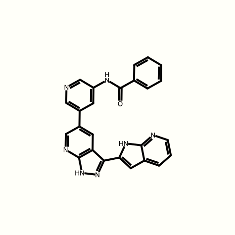 O=C(Nc1cncc(-c2cnc3[nH]nc(-c4cc5cccnc5[nH]4)c3c2)c1)c1ccccc1